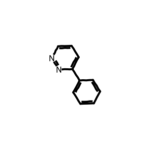 c1ccc(-c2cccnn2)cc1